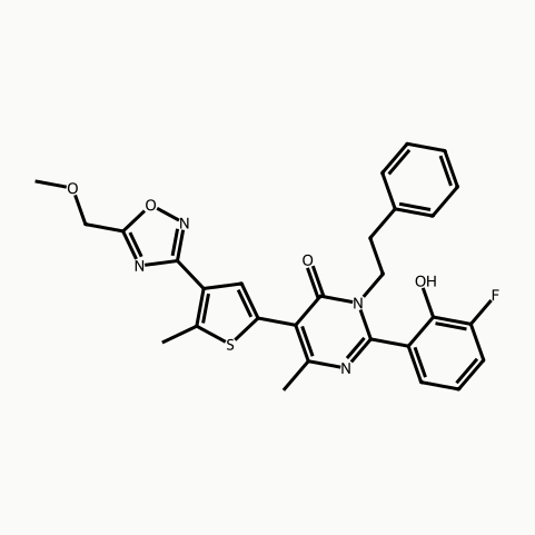 COCc1nc(-c2cc(-c3c(C)nc(-c4cccc(F)c4O)n(CCc4ccccc4)c3=O)sc2C)no1